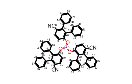 N#Cc1ccc(OP(Oc2ccc(C#N)c(-c3ccccc3)c2-c2ccccc2)Oc2ccc(C#N)c(-c3ccccc3)c2-c2ccccc2)c(-c2ccccc2)c1-c1ccccc1